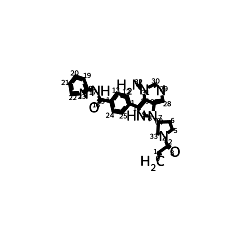 C=CC(=O)N1CC[C@@H](N2NC(c3ccc(C(=O)Nc4ccccn4)cc3)=C3C2=CN=CN3N)C1